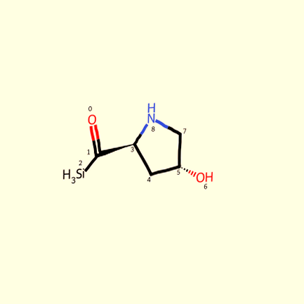 O=C([SiH3])[C@@H]1C[C@@H](O)CN1